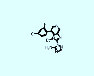 CCn1c(-n2ncnc2N)nc2cncc(-c3ccc(Cl)cc3F)c21